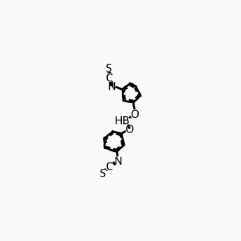 S=C=Nc1cccc(OBOc2cccc(N=C=S)c2)c1